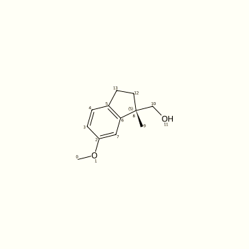 COc1ccc2c(c1)[C@@](C)(CO)CC2